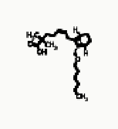 CCCCCCOC[C@@H]1[C@@H](C/C=C\CCC(C)(C)C(=O)O)[C@@H]2CC[C@H]1O2